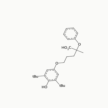 CC(CCCOc1cc(C(C)(C)C)c(O)c(C(C)(C)C)c1)(Oc1ccccc1)C(=O)O